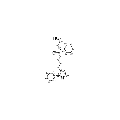 O=C(CCCCc1nnnn1-c1ccccc1)N(CCO)C1CCCCC1